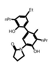 CCCc1cc(CC)cc(-c2cc(N3CCCC3=O)c(O)c(CCC)c2C)c1O